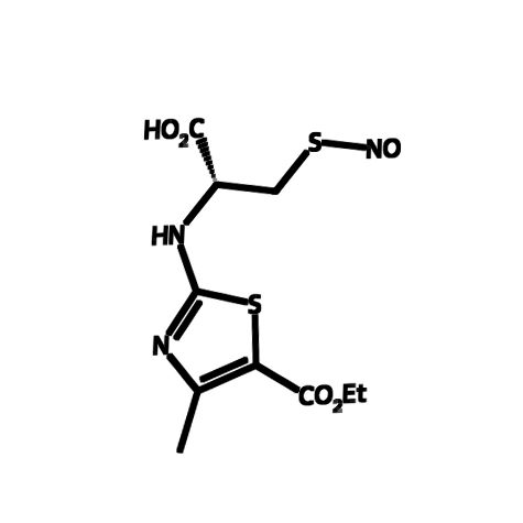 CCOC(=O)c1sc(N[C@@H](CSN=O)C(=O)O)nc1C